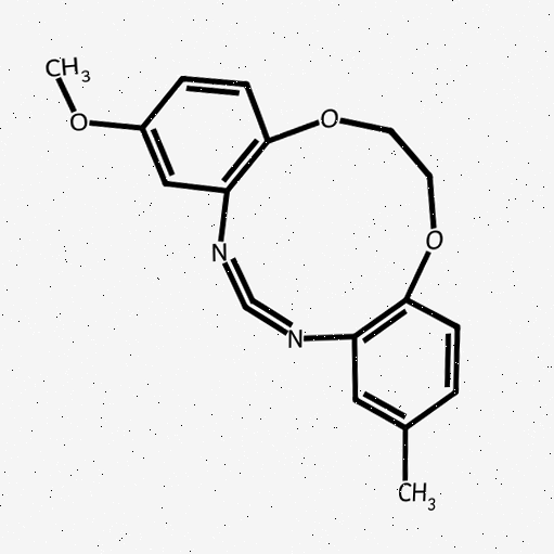 COc1ccc2c(c1)N=C=Nc1cc(C)ccc1OCCO2